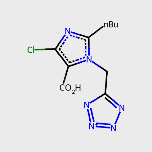 CCCCc1nc(Cl)c(C(=O)O)n1CC1=NN=[N+]=N1